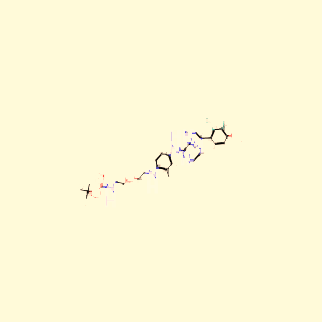 COc1ccc(-c2cnc3c(Nc4ccc(NCCOCCNC(=O)OC(C)(C)C)c(C)c4)nccn23)c(F)c1F